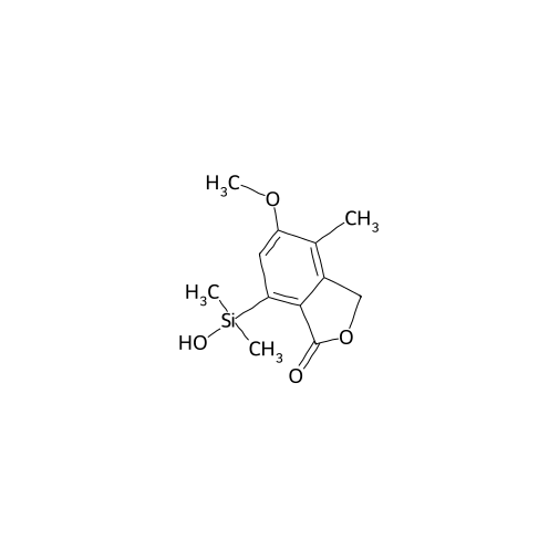 COc1cc([Si](C)(C)O)c2c(c1C)COC2=O